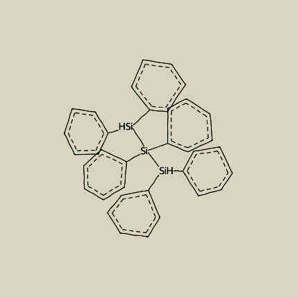 c1ccc([SiH](c2ccccc2)[Si](c2ccccc2)(c2ccccc2)[SiH](c2ccccc2)c2ccccc2)cc1